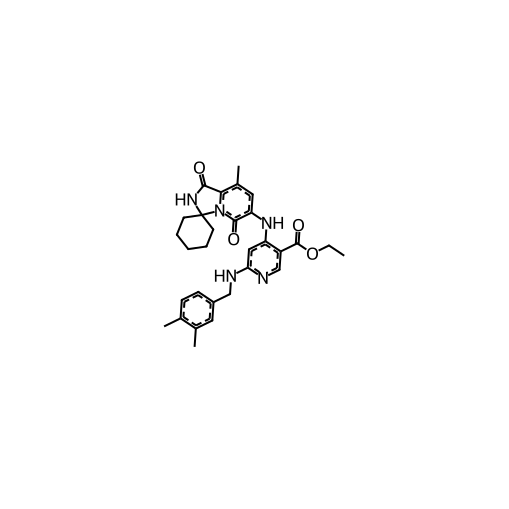 CCOC(=O)c1cnc(NCc2ccc(C)c(C)c2)cc1Nc1cc(C)c2n(c1=O)C1(CCCCC1)NC2=O